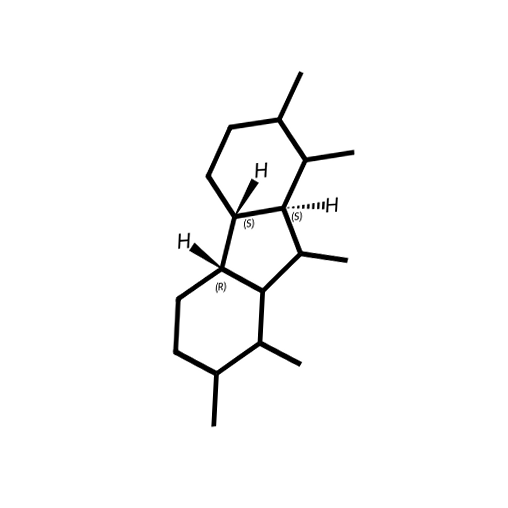 CC1CC[C@H]2C(C1C)C(C)[C@@H]1C(C)C(C)CC[C@H]12